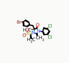 C=C1N(c2cc(Cl)cc(Cl)c2)C(=O)[C@@](C)(Cc2ccc(Br)cc2)N1/C(=C\C)[SH](=O)=O